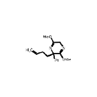 C=CCCC1(C(C)C)N=C(OC)CN=C1OC